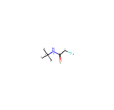 CC(C)(C)NC(=O)CF